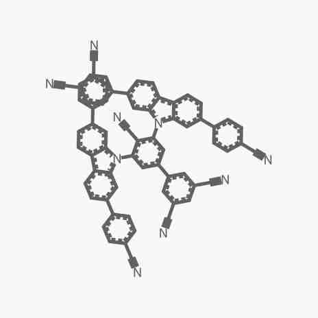 N#Cc1ccc(-c2ccc3c4ccc(-c5ccc(C#N)cc5)cc4n(-c4cc(-c5cc(C#N)cc(C#N)c5)cc(-n5c6cc(-c7ccc(C#N)cc7)ccc6c6ccc(-c7ccc(C#N)cc7)cc65)c4C#N)c3c2)cc1